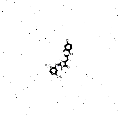 Cc1ccc(C)c(/N=C2\NC(=O)C(CC(=O)Nc3ccc(Cl)cc3Cl)S2)c1